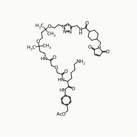 CC(=O)OCc1ccc(NC(=O)C(CCCCN)NC(=O)COCC(=O)NCCC(C)(C)OCCC(C)(C)OCCn2cc(CNC(=O)C3CCC(CN4C(=O)C=CC4=O)CC3)nn2)cc1